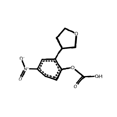 O=C(O)Oc1ccc([N+](=O)[O-])cc1C1CCOC1